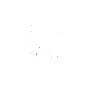 COC(=O)[C@H]1N(Cc2ccccc2)[C@H](CI)CC12OC(COCc1ccccc1)C(OCc1ccccc1)C(OCc1ccccc1)C2OCc1ccccc1